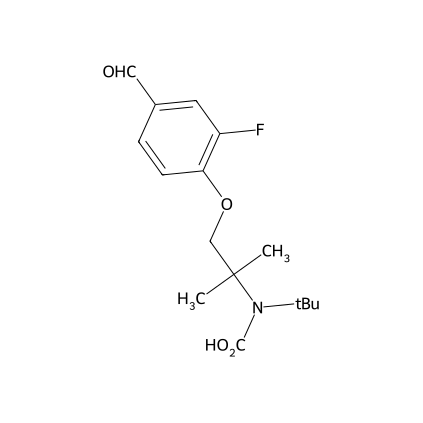 CC(C)(C)N(C(=O)O)C(C)(C)COc1ccc(C=O)cc1F